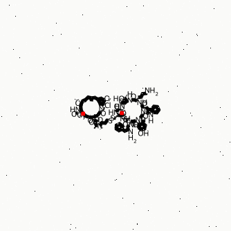 COc1cc2cc(c1Cl)N(C)C(=O)C[C@H](OC(=O)[C@H](C)N(C)C(=O)CCSSC[C@H](NC(=O)[C@@H]1CSSC[C@H](NC(=O)[C@H](N)Cc3ccccc3)C(=O)N[C@@H](Cc3ccc(O)cc3)C(=O)N[C@H](Cc3c[nH]c4ccccc34)C(=O)N[C@@H](CCCCN)C(=O)N[C@@H]([C@@H](C)O)C(=O)N1)C(N)=O)[C@]1(C)OC1[C@H](C)[C@@H]1CC(NC(=O)O1)[C@H](OC)/C=C/C=C(\C)C2